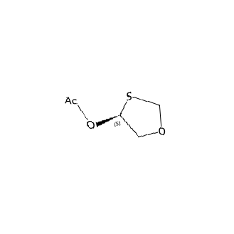 CC(=O)O[C@@H]1COCS1